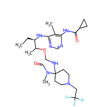 CC[C@@H](Nc1ncnc(NC(=O)C2CC2)c1C)C(C)OCNC1(N(C)C=O)CCN(CC(F)(F)F)CC1